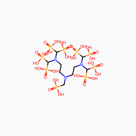 O=P(O)(O)CN(CCN(C(P(=O)(O)O)P(=O)(O)O)C(P(=O)(O)O)P(=O)(O)O)CCN(C(P(=O)(O)O)P(=O)(O)O)C(P(=O)(O)O)P(=O)(O)O